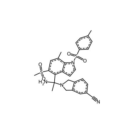 Cc1ccc(S(=O)(=O)n2ccc3c(C(C)(N)N4Cc5ccc(C#N)cc5C4)c(S(C)(=O)=O)cc(C)c32)cc1